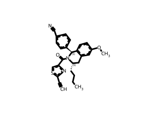 C#Cc1nc(C(=O)N2[C@@H](CCCC)Cc3cc(OC)ccc3[C@@H]2c2ccc(C#N)cc2)cs1